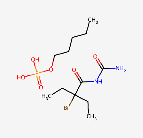 CCC(Br)(CC)C(=O)NC(N)=O.CCCCCOP(=O)(O)O